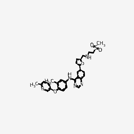 Cc1ccc(Oc2ccc(Nc3ncnc4ccc(-c5ccc(CNCCS(C)(=O)=O)o5)cc34)cc2C)cn1